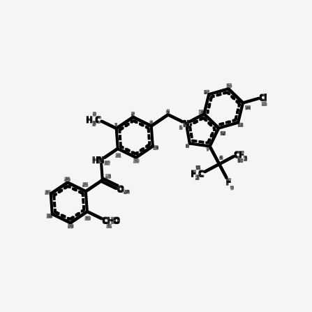 Cc1cc(Cn2cc(C(F)(C(F)(F)F)C(F)(F)F)c3cc(Cl)ccc32)ccc1NC(=O)c1ccccc1C=O